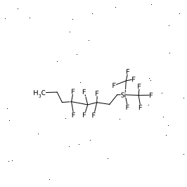 CCCC(F)(F)C(F)(F)C(F)(F)CC[Si](F)(C(F)(F)F)C(F)(F)F